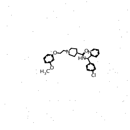 COc1cccc(OCCN2CCC(C(=O)NC(c3ccc(Cl)cc3)c3ccccn3)CC2)c1